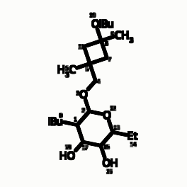 CCC(C)C1C(OCC2(C)CC(C)(OCC(C)C)C2)OC(CC)C(O)C1O